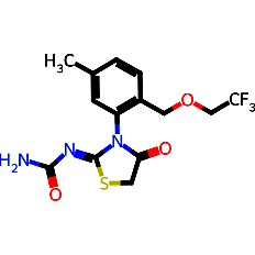 Cc1ccc(COCC(F)(F)F)c(N2C(=O)CS/C2=N\C(N)=O)c1